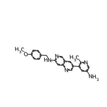 COc1ccc(CNc2cc3ncc(-c4cc(N)cnc4C)cc3cn2)cc1